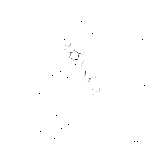 CCOC(=O)/C=C/COc1ccc(CC)cc1Br